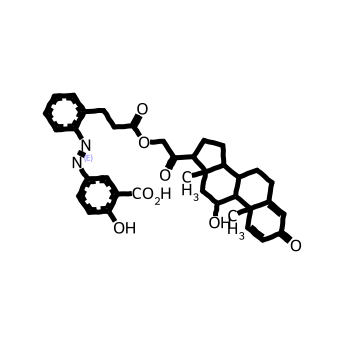 CC12C=CC(=O)C=C1CCC1C2C(O)CC2(C)C(C(=O)COC(=O)CCc3ccccc3/N=N/c3ccc(O)c(C(=O)O)c3)CCC12